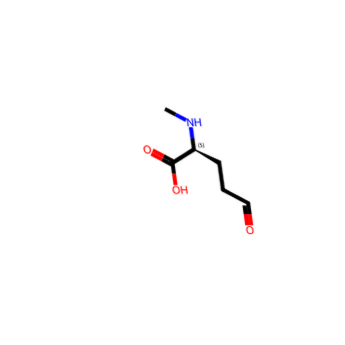 CN[C@@H](CCC=O)C(=O)O